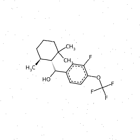 C[C@H]1CCCC(C)(C)[C@@H]1C(O)c1ccc(OC(F)(F)F)c(F)c1